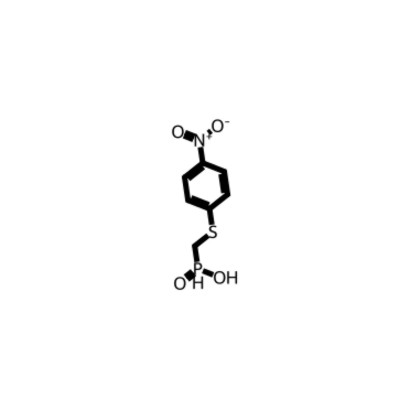 O=[N+]([O-])c1ccc(SC[PH](=O)O)cc1